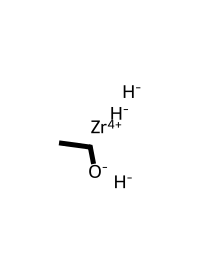 CC[O-].[H-].[H-].[H-].[Zr+4]